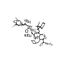 C[C@H]1CN(C[C@@H](NC(=O)N[C@H](C(=O)N2C[C@]3(C[C@H]2C(=O)NC(CC2CCC2)C(=O)C(N)=O)C(C)(C)C32CCC2)C(C)(C)C)C(C)(C)C)C[C@H](C)O1